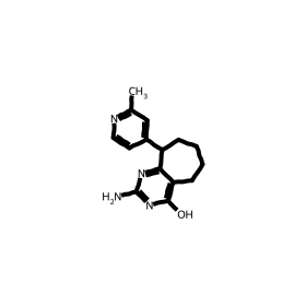 Cc1cc(C2CCCCc3c(O)nc(N)nc32)ccn1